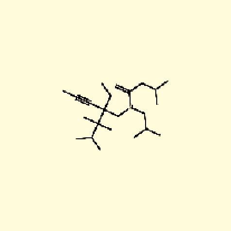 C=C(CC(C)C)N(CC(C)C)CC(C#CC)(CC)C(C)(C)C(C)C